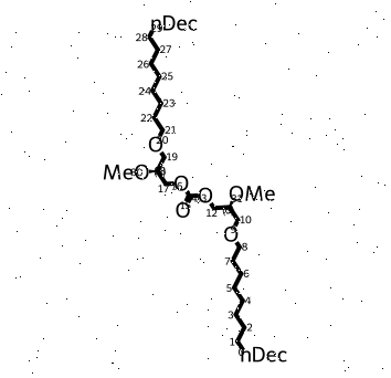 CCCCCCCCCCCCCCCCCCOC[C@@H](COC(=O)OC[C@H](COCCCCCCCCCCCCCCCCCC)OC)OC